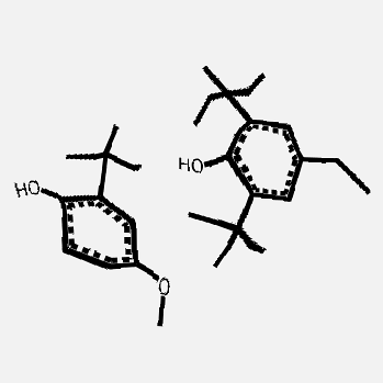 CCc1cc(C(C)(C)C)c(O)c(C(C)(C)C)c1.COc1ccc(O)c(C(C)(C)C)c1